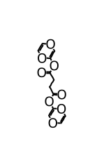 O=C(CCC(=O)OC1=COC=CO1)OC1=COC=CO1